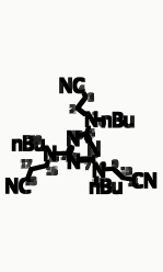 CCCCN(CCC#N)c1nc(N(CCC#N)CCCC)nc(N(CCC#N)CCCC)n1